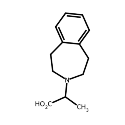 CC(C(=O)O)N1CCc2ccccc2CC1